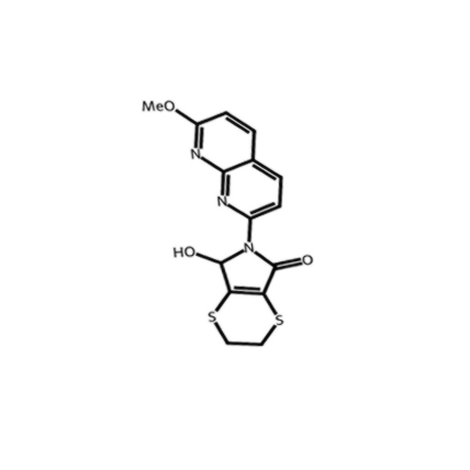 COc1ccc2ccc(N3C(=O)C4=C(SCCS4)C3O)nc2n1